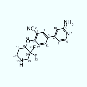 N#Cc1cc(-c2ccnc(N)c2)ccc1O[C@H]1CCNCC1(F)F